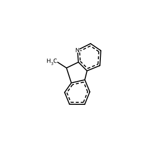 CC1c2ccccc2-c2cccnc21